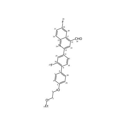 CCOCCOc1ccc(-c2ccc(-c3cc(C=O)c4cc(F)ccc4n3)cc2F)cc1